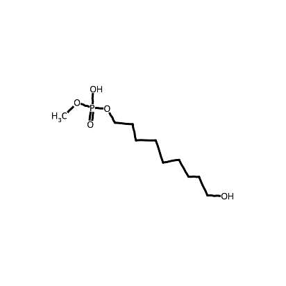 COP(=O)(O)OCCCCCCCCCO